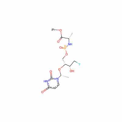 CC(C)OC(=O)[C@H](C)N[PH](=O)OC[C@@H](O[C@H](C)n1ccc(=O)[nH]c1=O)[C@@H](O)CF